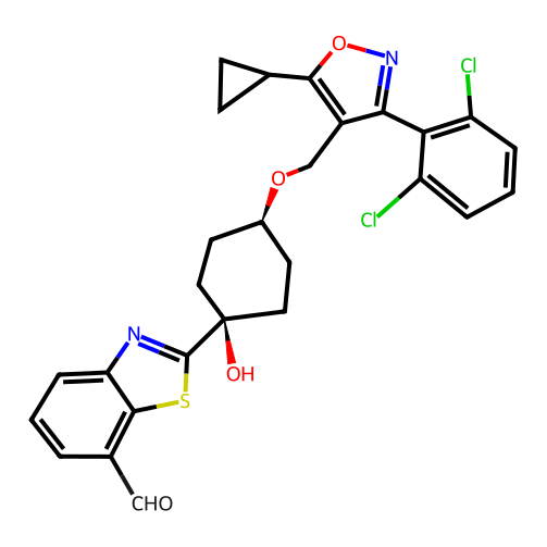 O=Cc1cccc2nc([C@]3(O)CC[C@@H](OCc4c(-c5c(Cl)cccc5Cl)noc4C4CC4)CC3)sc12